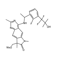 COCC1(C)C(=O)N(C)c2cc3c(NC(C)c4cccc(C(F)(F)C(C)(C)O)c4F)nc(C)nc3cc21